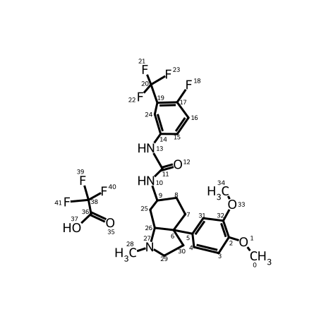 COc1ccc(C23CCC(NC(=O)Nc4ccc(F)c(C(F)(F)F)c4)CC2N(C)CC3)cc1OC.O=C(O)C(F)(F)F